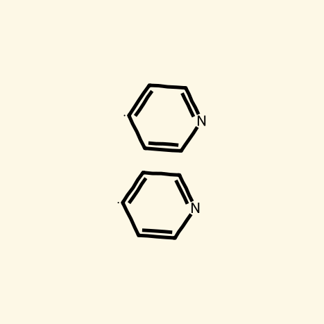 [c]1ccncc1.[c]1ccncc1